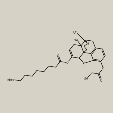 CCCCCCCCCCCCCCCCCC(=O)OC1=CCC2(O)C3Cc4ccc(OC(=O)OC(C)(C)C)c5c4C2(CCN3C)C1O5